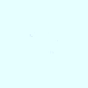 CCCC1(CC#N)CC1